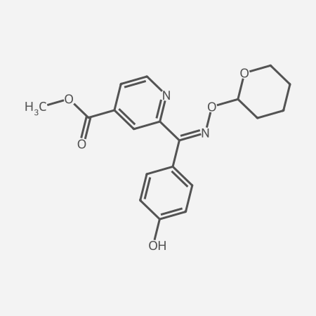 COC(=O)c1ccnc(/C(=N\OC2CCCCO2)c2ccc(O)cc2)c1